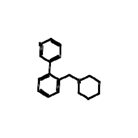 [c]1ncccc1-c1ccccc1CN1CCCCC1